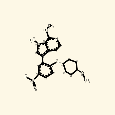 COc1nccc2c(-c3cc([N+](=O)[O-])ccc3O[C@H]3CC[C@H](OC)CC3)cn(C)c12